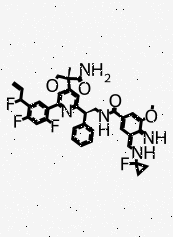 C=CC(F)c1cc(-c2nc([C@@H](CNC(=O)C3=C/C(=C/NC4(F)CC4)C(=N)C(OC)=C3)c3ccccc3)cc3c2OC[C@]3(C)C(N)=O)c(F)cc1F